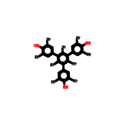 CC(C)c1cc(-c2c(C(C)C)c(-c3cc(C(C)C)c(O)c(C(C)C)c3)c(C(C)C)c(-c3cc(C(C)C)c(O)c(C(C)C)c3)c2C(C)C)cc(C(C)C)c1O